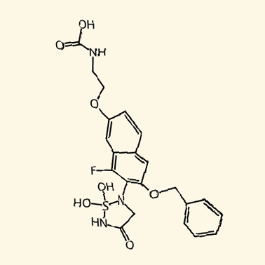 O=C(O)NCCOc1ccc2cc(OCc3ccccc3)c(N3CC(=O)NS3(O)O)c(F)c2c1